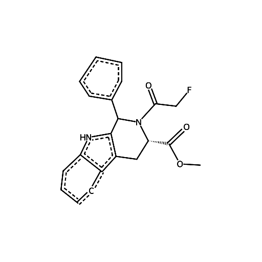 COC(=O)[C@@H]1Cc2c([nH]c3ccccc23)C(c2ccccc2)N1C(=O)CF